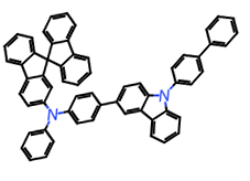 c1ccc(-c2ccc(-n3c4ccccc4c4cc(-c5ccc(N(c6ccccc6)c6ccc7c(c6)C6(c8ccccc8-c8ccccc86)c6ccccc6-7)cc5)ccc43)cc2)cc1